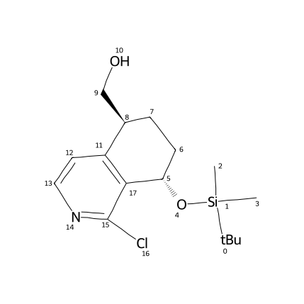 CC(C)(C)[Si](C)(C)O[C@H]1CC[C@H](CO)c2ccnc(Cl)c21